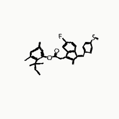 CCC(C)(C)c1c(C)cc(C)cc1OC(=O)CC1=C(C)/C(=C/c2ccc(SC)cc2)c2ccc(F)cc21